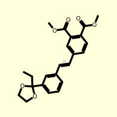 CCC1(c2cccc(/C=C/c3ccc(C(=O)OC)c(C(=O)OC)c3)c2)OCCO1